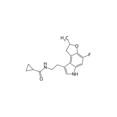 CC1Cc2c(c(F)cc3[nH]cc(CCNC(=O)C4CC4)c23)O1